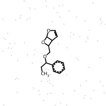 CCC(OCC1OC2OC=CC12)c1ccccc1